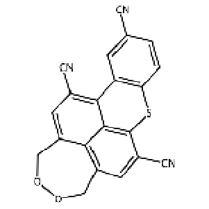 N#Cc1ccc2c(c1)-c1c(C#N)cc3c4c(cc(C#N)c(c14)S2)COOC3